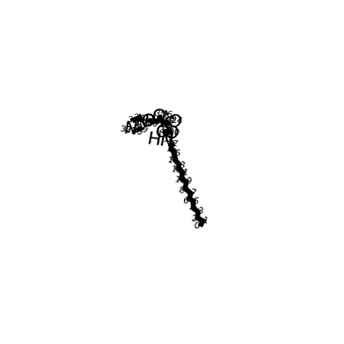 CCCCCCCCCCCCCCCCCCNC(=O)OC(=C=O)C(CON1CCN(C)CC1)OC